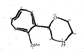 COc1ccccc1C1CNCCO1